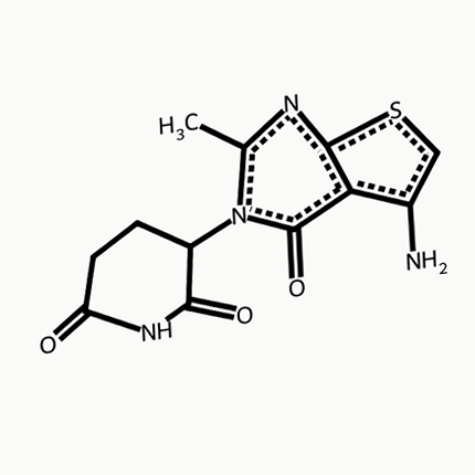 Cc1nc2scc(N)c2c(=O)n1C1CCC(=O)NC1=O